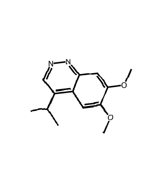 COc1cc2nncc(C(C)C)c2cc1OC